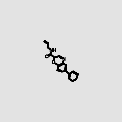 C=CCNC(=O)C1C=Nc2cc(C3=CCCC=C3)ccc2O1